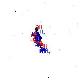 CC(C)C[C@H](NC(=O)[C@H](Cc1ccccc1)NC(=O)[C@H](CO)NC(=O)[C@H](CCC(N)=O)NC(=O)[C@@H]1CCCN1C(=O)[C@@H](N)Cc1ccc(O)cc1)C(=O)N[C@@H](CCCNC(=N)N)C(=O)O